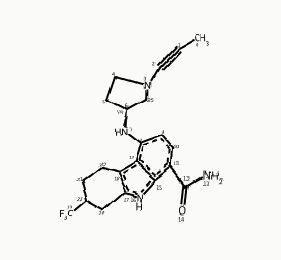 CC#CN1CC[C@H](Nc2ccc(C(N)=O)c3[nH]c4c(c23)CCC(C(F)(F)F)C4)C1